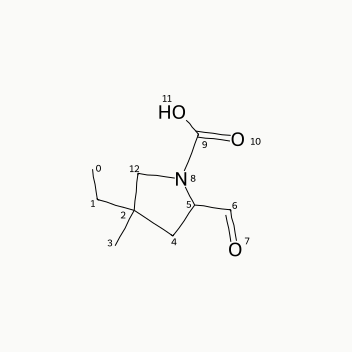 CCC1(C)CC(C=O)N(C(=O)O)C1